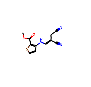 COC(=O)c1sccc1N/C=C(/C#N)CC#N